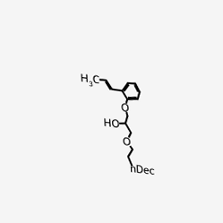 CC=Cc1ccccc1OCC(O)COCCCCCCCCCCCC